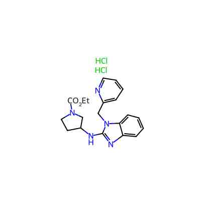 CCOC(=O)N1CCC(Nc2nc3ccccc3n2Cc2ccccn2)C1.Cl.Cl